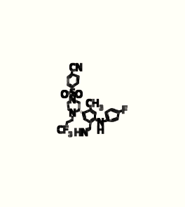 Cc1cc(Nc2ccc(F)cc2)c(C=N)cc1[C@H]1CN(S(=O)(=O)c2ccc(C#N)cc2)CCN1CCC(F)(F)F